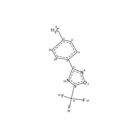 [CH2]c1ccc(-c2noc(C(F)(F)F)n2)cc1